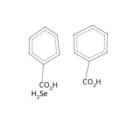 O=C(O)c1ccccc1.O=C(O)c1ccccc1.[SeH2]